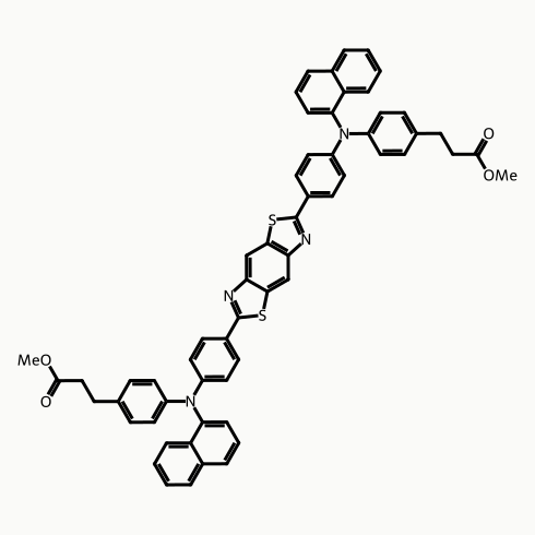 COC(=O)CCc1ccc(N(c2ccc(-c3nc4cc5sc(-c6ccc(N(c7ccc(CCC(=O)OC)cc7)c7cccc8ccccc78)cc6)nc5cc4s3)cc2)c2cccc3ccccc23)cc1